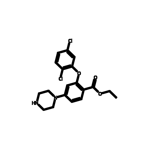 CCOC(=O)c1ccc(N2CCNCC2)cc1Oc1cc(Cl)ccc1Cl